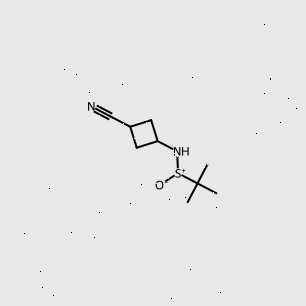 CC(C)(C)[S+]([O-])NC1CC(C#N)C1